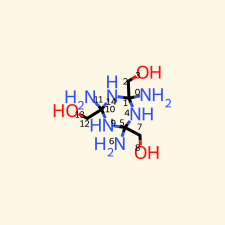 NC1(CO)NC(N)(CO)NC(N)(CO)N1